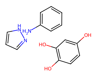 Nc1ccccc1.Oc1ccc(O)c(O)c1.c1cn[nH]c1